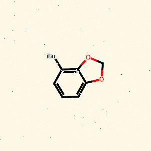 CCC(C)c1cccc2c1OCO2